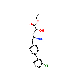 CCOC(=O)C(O)CC(N)Cc1ccc(-c2cccc(Cl)c2)cc1